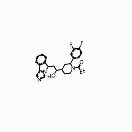 CCC(=O)N1CCC(C(O)CC2c3ccccc3-c3cncn32)CC1c1ccc(F)c(F)c1